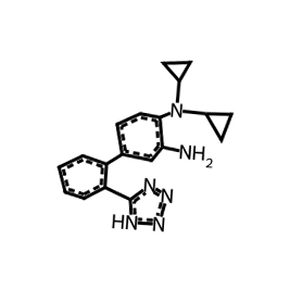 Nc1cc(-c2ccccc2-c2nnn[nH]2)ccc1N(C1CC1)C1CC1